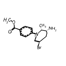 COC(=O)c1ccc(N2C[C@H](Br)C[C@@H](N)[C@H]2C)cc1